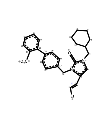 CC/C=C/c1cn(CC2CCCCC2)c(=O)n1Cc1ccc(-c2ccccc2C(=O)O)cc1